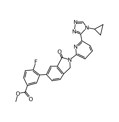 COC(=O)c1ccc(F)c(-c2ccc3c(c2)C(=O)N(c2cccc(-c4nncn4C4CC4)n2)C3)c1